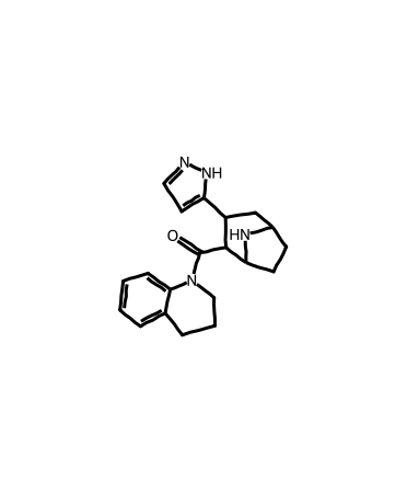 O=C(C1C2CCC(CC1c1ccn[nH]1)N2)N1CCCc2ccccc21